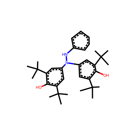 CC(C)(C)c1cc(N(Nc2ccccc2)c2cc(C(C)(C)C)c(O)c(C(C)(C)C)c2)cc(C(C)(C)C)c1O